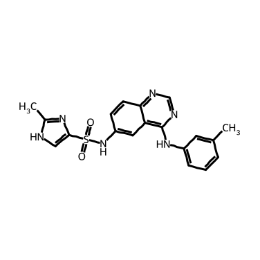 Cc1cccc(Nc2ncnc3ccc(NS(=O)(=O)c4c[nH]c(C)n4)cc23)c1